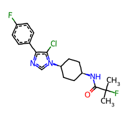 CC(C)(F)C(=O)N[C@H]1CC[C@@H](n2cnc(-c3ccc(F)cc3)c2Cl)CC1